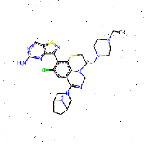 CCN1CCN(C[C@H]2CSc3c(-c4nsc5cnc(N)nc45)c(Cl)cc4c3N2CN=C4N2CC3CCC(C2)N3)CC1